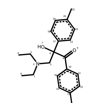 CCN(CC)CC(O)(C(=O)c1ccc(C)cc1)c1ccc(C)cc1